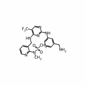 CN(c1ncccc1CNc1nc(Nc2cccc(CN)c2)ncc1C(F)(F)F)S(C)(=O)=O